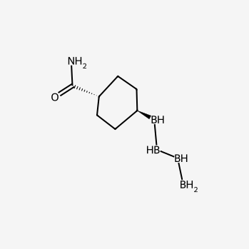 BBBB[C@H]1CC[C@H](C(N)=O)CC1